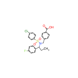 CCC(c1ccc(F)cc1)N(Cc1ccc(C(=O)O)cc1)S(=O)(=O)c1ccc(Cl)cc1